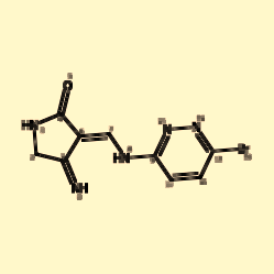 N=C1CNC(=O)/C1=C/Nc1ccc(Br)nn1